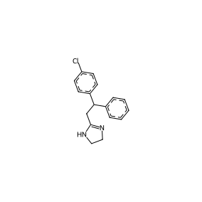 Clc1ccc(C(CC2=NCCN2)c2ccccc2)cc1